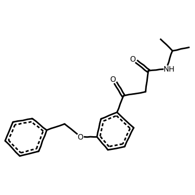 CC(C)NC(=O)CC(=O)c1cccc(OCc2ccccc2)c1